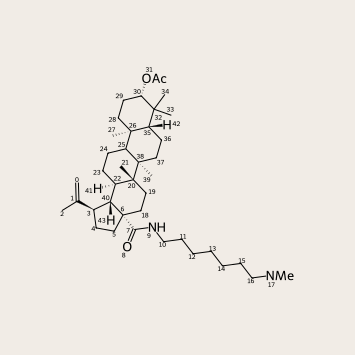 C=C(C)[C@@H]1CC[C@]2(C(=O)NCCCCCCCNC)CC[C@]3(C)[C@H](CCC4[C@@]5(C)CC[C@H](OC(C)=O)C(C)(C)[C@@H]5CC[C@]43C)[C@@H]12